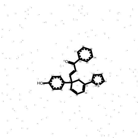 O=C(C=CC1(c2ccc(O)cc2)C=CC=C(c2cccs2)C1)c1ccccc1